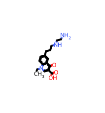 CCn1cc(C(=O)O)c(=O)c2cc(CCCNCCN)ccc21